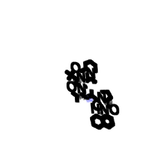 C/C(=C\[C@H](C(C)C)N(C)C(=O)[C@@H](NC(=O)C1CCCCN1C(C)C)C(C)(C)C)C(=O)N1CCC[C@H]1C(=O)Nc1cccc2c1CCCC2